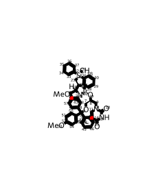 COc1ccc(C(OC[C@H](Cn2cc(C)c(=O)[nH]c2=O)O[P@@]2O[C@H](C[Si](C)(c3ccccc3)c3ccccc3)[C@@H]3CCCN32)(c2ccccc2)c2ccc(OC)cc2)cc1